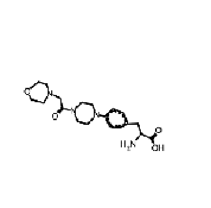 N[C@@H](Cc1ccc(N2CCN(C(=O)CN3CCOCC3)CC2)cc1)C(=O)O